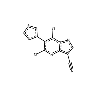 N#Cc1cnn2c(Cl)c(-c3ccsc3)c(Cl)nc12